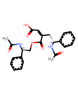 CC(=O)N[C@@H](COC(=O)C(=CC(=O)O)C[C@@H](NC(C)=O)c1ccccc1)c1ccccc1